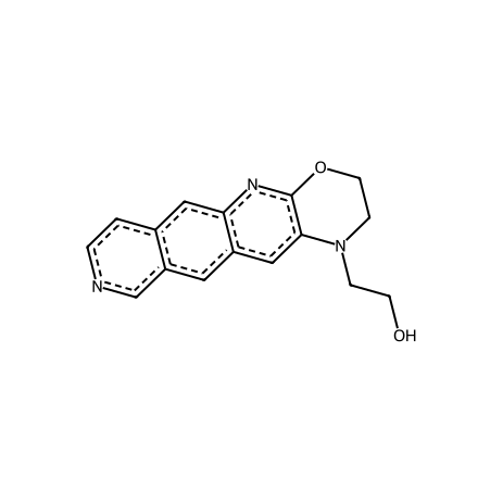 OCCN1CCOc2nc3cc4ccncc4cc3cc21